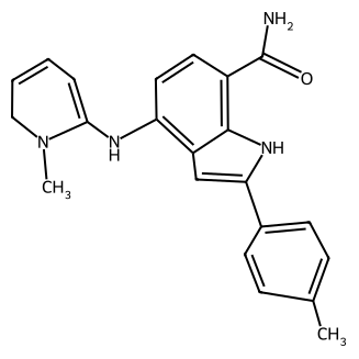 Cc1ccc(-c2cc3c(NC4=CC=CCN4C)ccc(C(N)=O)c3[nH]2)cc1